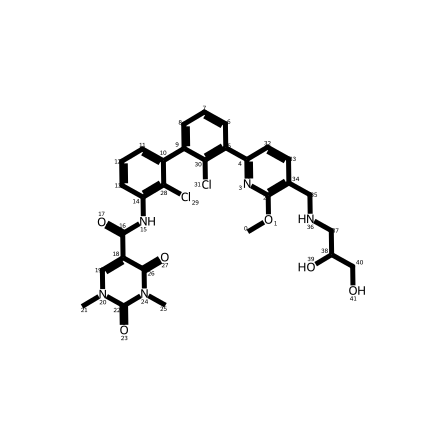 COc1nc(-c2cccc(-c3cccc(NC(=O)c4cn(C)c(=O)n(C)c4=O)c3Cl)c2Cl)ccc1CNCC(O)CO